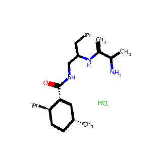 C=C(NC(CNC(=O)[C@@H]1C[C@H](C)CC[C@H]1C(C)C)CC(C)C)C(C)N.Cl